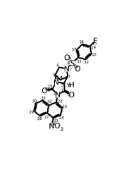 O=C1[C@@H]2C3CC(CN3S(=O)(=O)c3ccc(F)cc3)N2C(=O)N1c1ccc([N+](=O)[O-])c2ccccc12